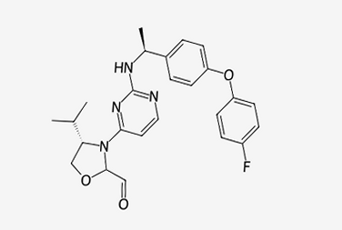 CC(C)[C@H]1COC(C=O)N1c1ccnc(N[C@@H](C)c2ccc(Oc3ccc(F)cc3)cc2)n1